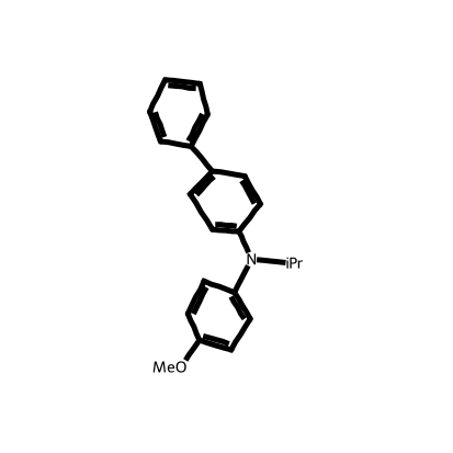 COc1ccc(N(c2ccc(-c3ccccc3)cc2)C(C)C)cc1